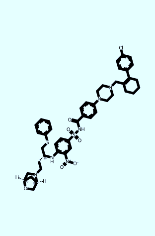 O=C(NS(=O)(=O)c1ccc(N[C@H](CCN2C[C@H]3C[C@@H]2CO3)CSc2ccccc2)c([N+](=O)[O-])c1)c1ccc(N2CCN(CC3=C(c4ccc(Cl)cc4)CCCC3)CC2)cc1